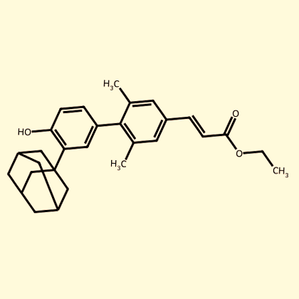 CCOC(=O)C=Cc1cc(C)c(-c2ccc(O)c(C34CC5CC(CC(C5)C3)C4)c2)c(C)c1